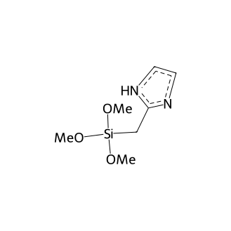 CO[Si](Cc1ncc[nH]1)(OC)OC